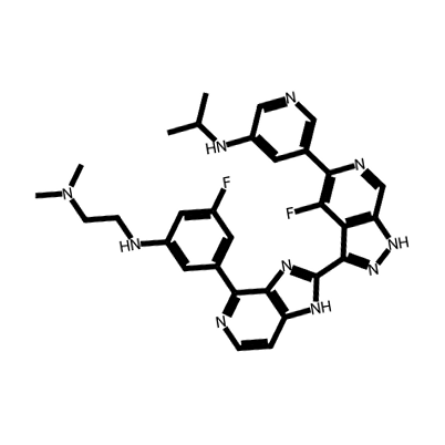 CC(C)Nc1cncc(-c2ncc3[nH]nc(-c4nc5c(-c6cc(F)cc(NCCN(C)C)c6)nccc5[nH]4)c3c2F)c1